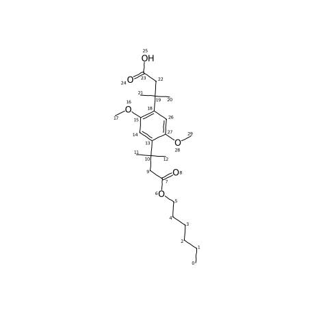 CCCCCCOC(=O)CC(C)(C)c1cc(OC)c(C(C)(C)CC(=O)O)cc1OC